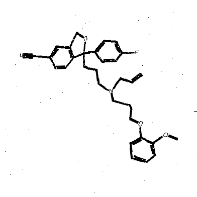 C=CCN(CCCOc1ccccc1OC)CCCC1(c2ccc(F)cc2)OCc2cc(C#N)ccc21